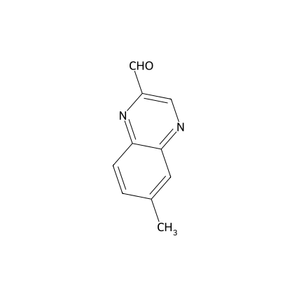 Cc1ccc2nc(C=O)cnc2c1